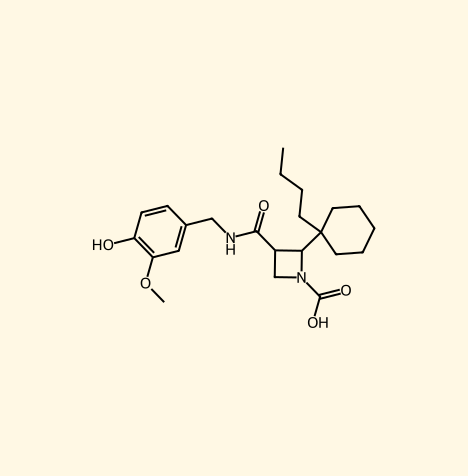 CCCCC1(C2C(C(=O)NCc3ccc(O)c(OC)c3)CN2C(=O)O)CCCCC1